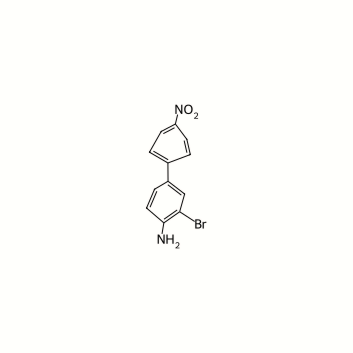 Nc1ccc(-c2ccc([N+](=O)[O-])cc2)cc1Br